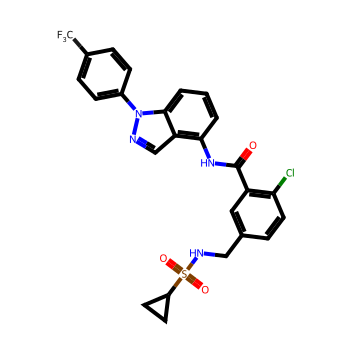 O=C(Nc1cccc2c1cnn2-c1ccc(C(F)(F)F)cc1)c1cc(CNS(=O)(=O)C2CC2)ccc1Cl